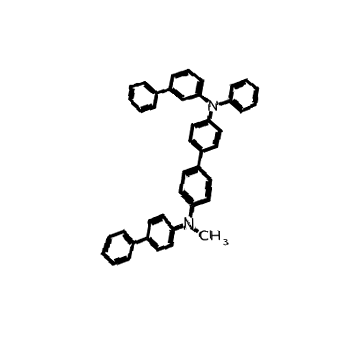 CN(c1ccc(-c2ccccc2)cc1)c1ccc(-c2ccc(N(c3ccccc3)c3cccc(-c4ccccc4)c3)cc2)cc1